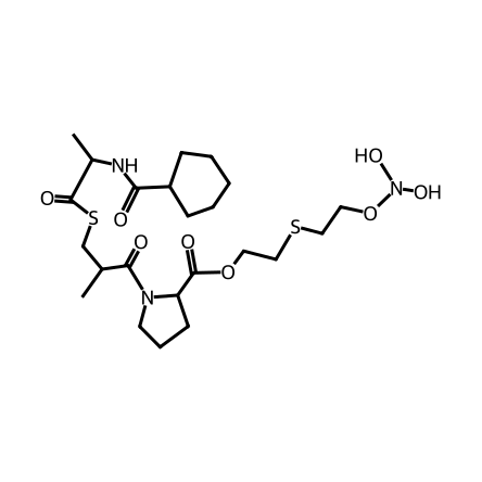 CC(CSC(=O)C(C)NC(=O)C1CCCCC1)C(=O)N1CCCC1C(=O)OCCSCCON(O)O